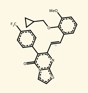 COc1cccc(/C=C/c2nc3sccn3c(=O)c2-c2ccc(C(F)(F)F)cc2)c1OCC1CC1